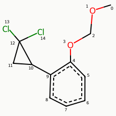 COCOc1ccccc1C1CC1(Cl)Cl